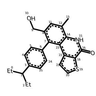 CCC(CC)c1ccc(-c2c(CO)cc(C)c3[nH]c(=O)c4sccc4c23)cc1